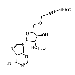 CCCCCC#CCOC[C@H]1O[C@@H](n2cnc3c(N)ncnc32)[C@H](O)[C@@H]1O.O